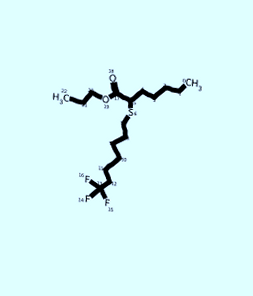 CCCCCC(SCCCCCCC(F)(F)F)C(=O)OCCC